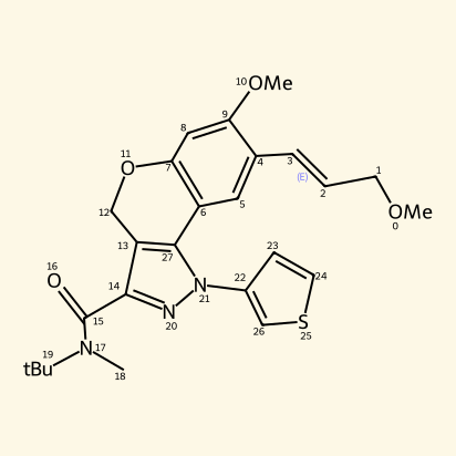 COC/C=C/c1cc2c(cc1OC)OCc1c(C(=O)N(C)C(C)(C)C)nn(-c3ccsc3)c1-2